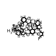 Cc1c(-c2c(-c3ccc(F)o3)sc3ncnc(OC(C=O)C(O)c4ccccc4OC(O)(O)c4ccnn4CC(F)(F)F)c23)ccc(OCCN2CCN(C)CC2)c1Cl